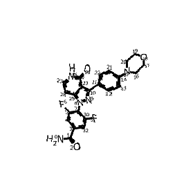 NC(=O)c1cc(F)c(-n2nc(-c3ccc(N4CCOCC4)cc3)c3c(=O)[nH]ccc32)c(F)c1